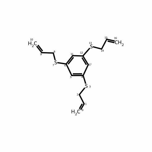 C=CCSc1cc(SCC=C)cc(SCC=C)c1